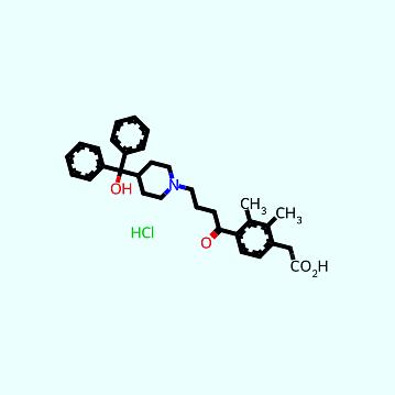 Cc1c(CC(=O)O)ccc(C(=O)CCCN2CCC(C(O)(c3ccccc3)c3ccccc3)CC2)c1C.Cl